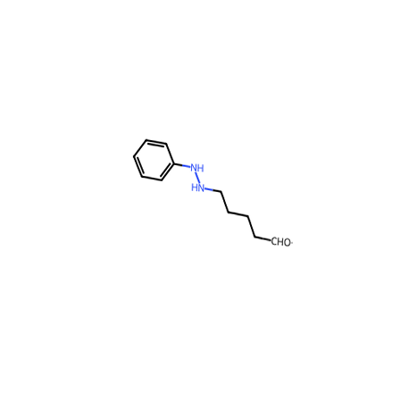 O=[C]CCCCNNc1ccccc1